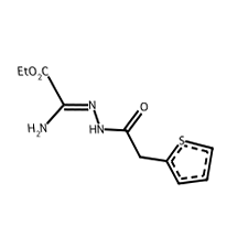 CCOC(=O)C(N)=NNC(=O)Cc1cccs1